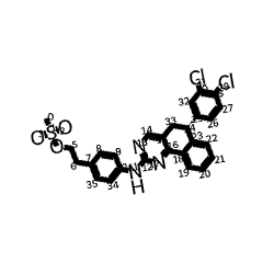 CS(=O)(=O)OCCc1ccc(Nc2ncc3c(n2)-c2ccccc2[C@@H](c2ccc(Cl)c(Cl)c2)C3)cc1